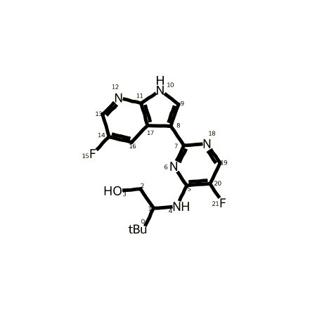 CC(C)(C)C(CO)Nc1nc(-c2c[nH]c3ncc(F)cc23)ncc1F